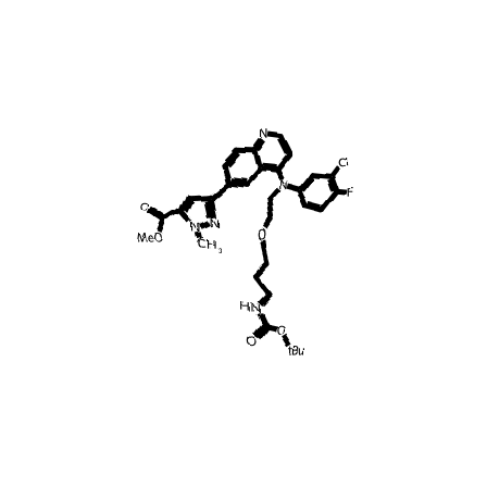 COC(=O)c1cc(-c2ccc3nccc(N(CCOCCCNC(=O)OC(C)(C)C)c4ccc(F)c(Cl)c4)c3c2)nn1C